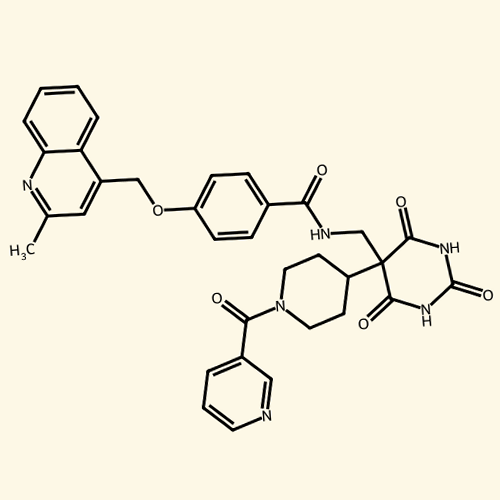 Cc1cc(COc2ccc(C(=O)NCC3(C4CCN(C(=O)c5cccnc5)CC4)C(=O)NC(=O)NC3=O)cc2)c2ccccc2n1